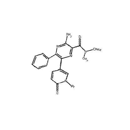 CON(C)C(=O)c1nc(-c2ccc(=O)n(C(C)C)c2)c(-c2ccccc2)nc1N